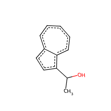 CC(O)c1ccc2cccccc1-2